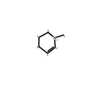 CN1C=C[C]CC1